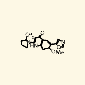 COC1Cc2[nH]c(N3CCCC3C)cc(=O)c2C=C1c1cnco1